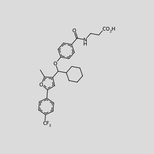 Cc1oc(-c2ccc(C(F)(F)F)cc2)cc1C(Oc1ccc(C(=O)NCCC(=O)O)cc1)C1CCCCC1